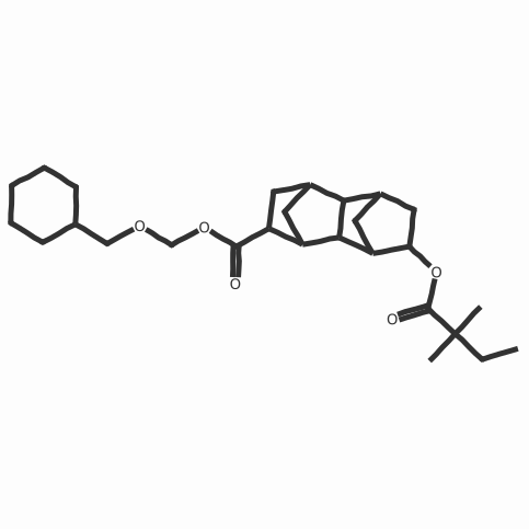 CCC(C)(C)C(=O)OC1CC2CC1C1C3CC(CC3C(=O)OCOCC3CCCCC3)C21